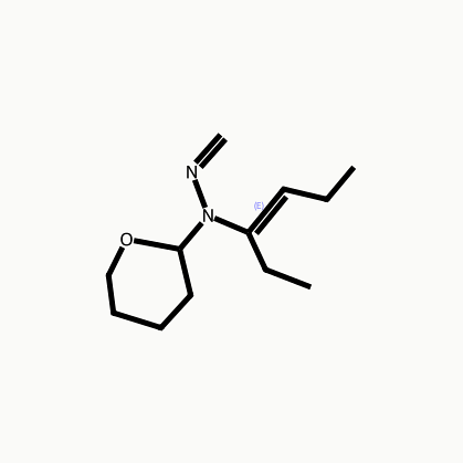 C=NN(/C(=C/CC)CC)C1CCCCO1